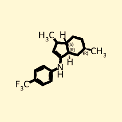 CC1C=C(Nc2ccc(C(F)(F)F)cc2)[C@@H]2C[C@H](C)CC[C@@H]12